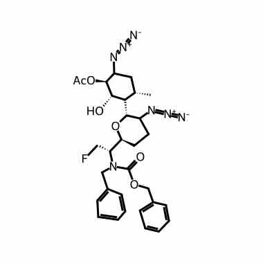 CC(=O)O[C@H]1C(N=[N+]=[N-])C[C@H](C)C([C@H]2O[C@H]([C@@H](CF)N(Cc3ccccc3)C(=O)OCc3ccccc3)CCC2N=[N+]=[N-])[C@@H]1O